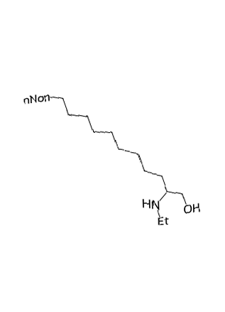 CCCCCCCCCCCCCCCCCCC(CO)NCC